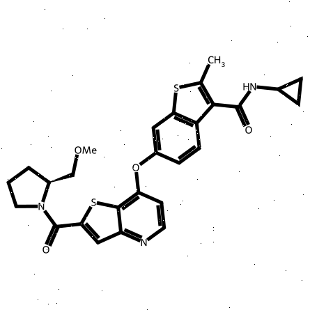 COC[C@@H]1CCCN1C(=O)c1cc2nccc(Oc3ccc4c(C(=O)NC5CC5)c(C)sc4c3)c2s1